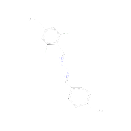 COc1ccc(/C=N/N=C/c2c(F)cc(OC)cc2F)cc1